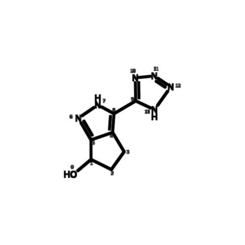 OC1CCc2c1n[nH]c2-c1nnn[nH]1